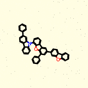 c1ccc(-c2ccc3c4ccccc4n(-c4cccc5c4oc4c(-c6ccccc6)cc(-c6ccc7c(c6)oc6ccccc67)cc45)c3c2)cc1